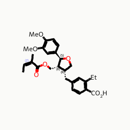 C/C=C(/C)C(=O)OC[C@H]1[C@@H](Cc2ccc(C(=O)O)c(CC)c2)CO[C@@H]1c1ccc(OC)c(OC)c1